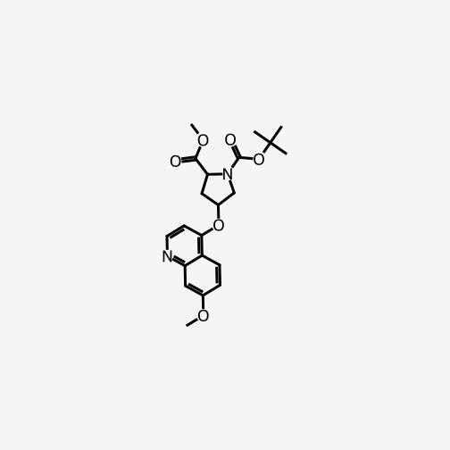 COC(=O)C1CC(Oc2ccnc3cc(OC)ccc23)CN1C(=O)OC(C)(C)C